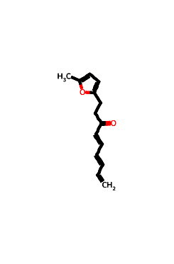 C=CC=CC=CC(=O)CCc1ccc(C)o1